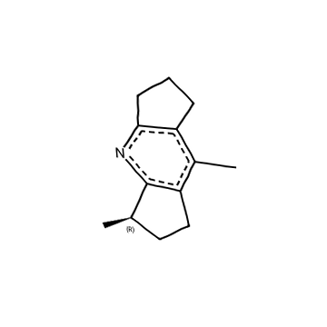 Cc1c2c(nc3c1CC[C@H]3C)CCC2